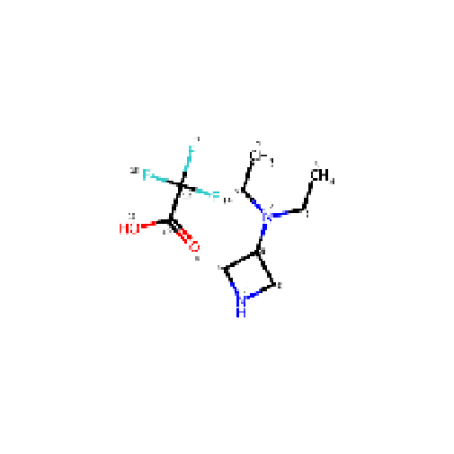 CCN(CC)C1CNC1.O=C(O)C(F)(F)F